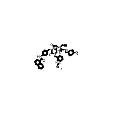 C#CCN(C(=O)NCc1ccc(OC)cc1)N1CC(=O)N2[C@@H](Cc3ccc(NC(=O)c4cccc5ccccc45)cc3)C(=O)N(Cc3cccc4sc(N)nc34)C[C@@H]21